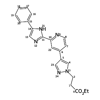 CCOC(=O)CCn1cc(-c2ccnc(-c3ncc(-c4ccccc4)[nH]3)c2)cn1